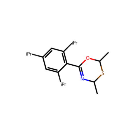 CC1N=C(c2c(C(C)C)cc(C(C)C)cc2C(C)C)OC(C)S1